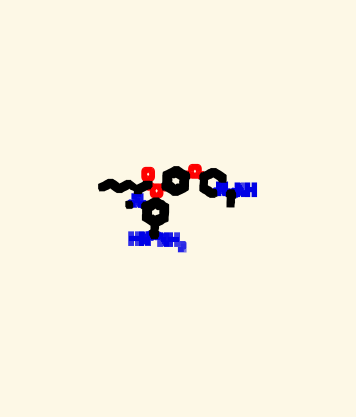 CCCC[C@@H](C(=O)Oc1ccc(OC2CCN(C(C)=N)CC2)cc1)N(C)c1cccc(C(=N)N)c1